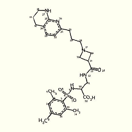 Cc1cc(C)c(S(=O)(=O)NC(CNC(=O)C2CN(CCCc3ccc4c(n3)NCCC4)C2)C(=O)O)c(C)c1